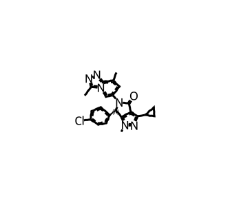 Cc1cc(N2C(=O)c3c(C4CC4)nn(C)c3[C@H]2c2ccc(Cl)cc2)cn2c(C)nnc12